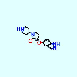 O=C1[C@@H](Oc2ccc3[nH]ncc3c2)CCN1C1CCNCC1